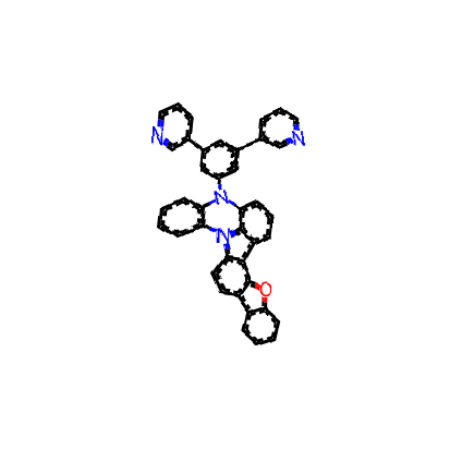 c1cncc(-c2cc(-c3cccnc3)cc(N3c4ccccc4-n4c5ccc6c7ccccc7oc6c5c5cccc3c54)c2)c1